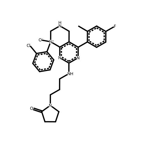 Cc1cc(F)ccc1-c1nc(NCCCN2CCCC2=O)nc2c1CNC[N+]2([O-])c1ccccc1Cl